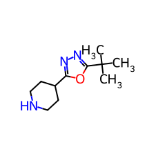 CC(C)(C)c1nnc(C2CCNCC2)o1